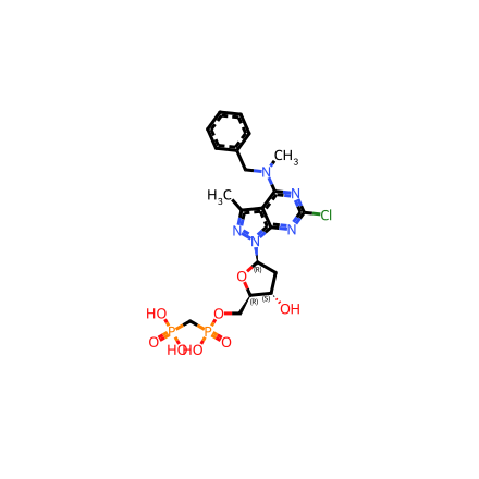 Cc1nn([C@H]2C[C@H](O)[C@@H](COP(=O)(O)CP(=O)(O)O)O2)c2nc(Cl)nc(N(C)Cc3ccccc3)c12